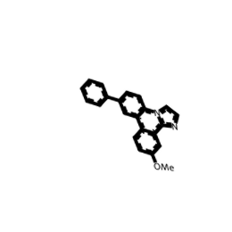 COc1ccc2c3cc(-c4ccccc4)ccc3n3ccnc3c2c1